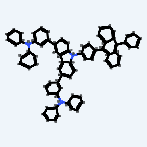 c1ccc(-c2c3ccccc3c(-c3ccc(-n4c5ccc(-c6cccc(N(c7ccccc7)c7ccccc7)c6)cc5c5cc(-c6cccc(N(c7ccccc7)c7ccccc7)c6)ccc54)cc3)c3ccccc23)cc1